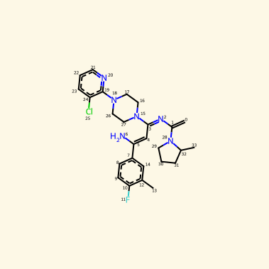 C=C(/N=C(\C=C(/N)c1ccc(F)c(C)c1)N1CCN(c2ncccc2Cl)CC1)N1CCCC1C